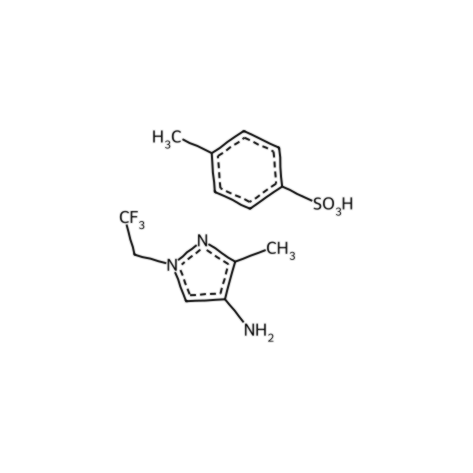 Cc1ccc(S(=O)(=O)O)cc1.Cc1nn(CC(F)(F)F)cc1N